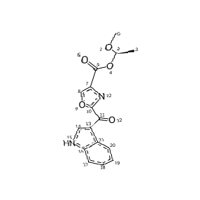 CO[C@@H](C)OC(=O)c1coc(C(=O)c2c[nH]c3ccccc23)n1